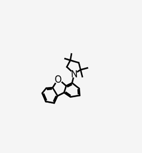 CC1(C)CN(c2cccc3c2oc2ccccc23)C(C)(C)C1